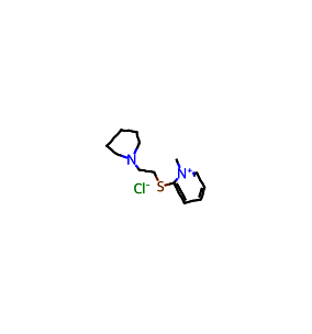 C[n+]1ccccc1SCCN1CCCCC1.[Cl-]